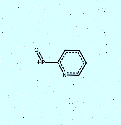 O=[PH]c1ccccn1